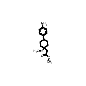 COC(=O)CC1(OC)CCC(c2ccc(N)cc2)CC1